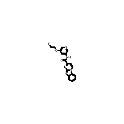 O=C(Nc1cncc(OCCF)c1)c1ccn2c(n1)nc1ccccc12